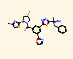 Cc1csc([C@H]2C[C@H](F)CN2C(=O)c2cc(-c3ncco3)cc(-c3nnc([C@](C)(N)Cc4ccccc4)o3)c2)n1